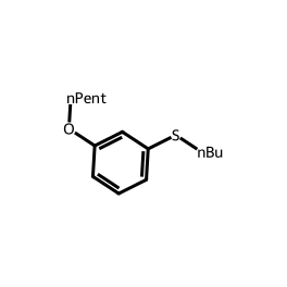 [CH2]CCCSc1cccc(OCCCCC)c1